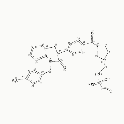 C=CS(=O)(=O)NC[C@H]1CCN(C(=O)c2ccc(C(Cc3ccccc3)C(=O)NCc3ccc(C(F)(F)F)cc3)cc2)C1